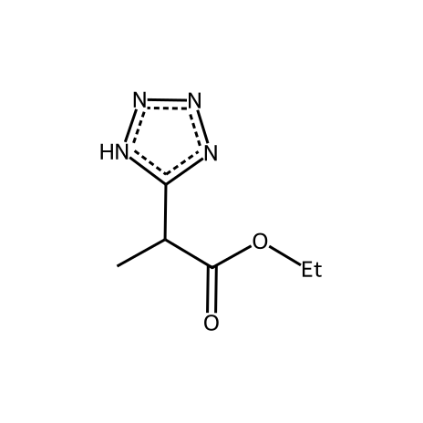 CCOC(=O)C(C)c1nnn[nH]1